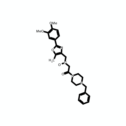 COc1ccc(-c2nc(C[S+]([O-])CC(=O)N3CCN(Cc4ccccc4)CC3)c(C)o2)cc1OC